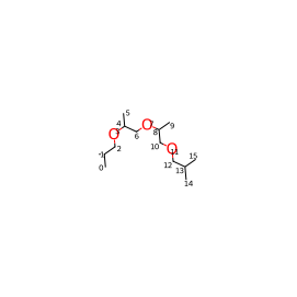 C[CH]COC(C)COC(C)COCC(C)C